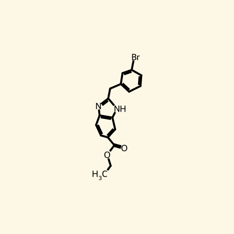 CCOC(=O)c1ccc2nc(Cc3cccc(Br)c3)[nH]c2c1